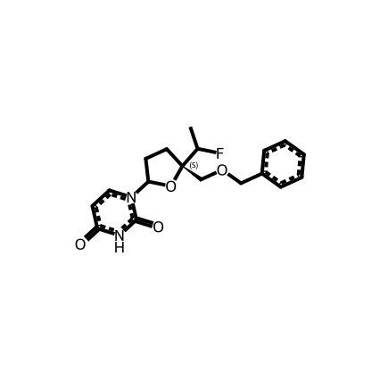 CC(F)[C@@]1(COCc2ccccc2)CCC(n2ccc(=O)[nH]c2=O)O1